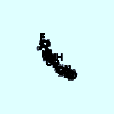 Cc1cc(F)ccc1-c1cc(NC(=O)OCc2ccc3c(c2)nc2n3CCOC2)n(C)n1